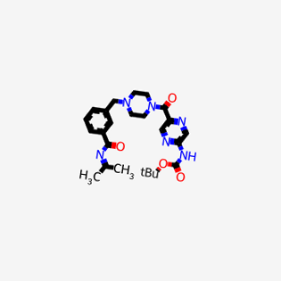 CC(C)=NC(=O)c1cccc(CN2CCN(C(=O)c3cnc(NC(=O)OC(C)(C)C)cn3)CC2)c1